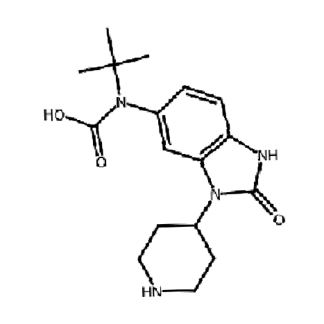 CC(C)(C)N(C(=O)O)c1ccc2[nH]c(=O)n(C3CCNCC3)c2c1